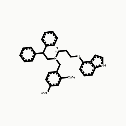 COc1ccc(CN(CC(c2ccccc2)c2ccccc2)[C@H](C)CCOc2cccc3[nH]ccc23)c(OC)c1